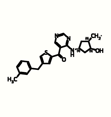 [CH2][C@@H]1C[C@@H](Nc2ncncc2C(=O)c2cc(Cc3cccc(C)c3)cs2)C[C@@H]1O